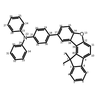 CC1(C)c2ccccc2-c2ccc3oc4ccc(-c5ccc(N(c6ccccc6)c6ccccc6)cc5)cc4c3c21